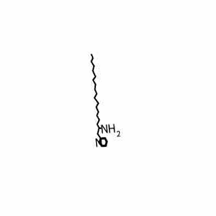 CCCCCCCCCCCCCCCCCC(N)Cc1ccccn1